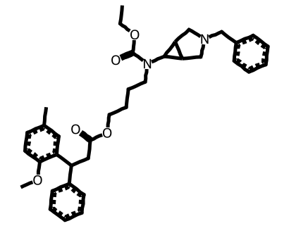 CCOC(=O)N(CCCCOC(=O)CC(c1ccccc1)c1cc(C)ccc1OC)C1C2CN(Cc3ccccc3)CC21